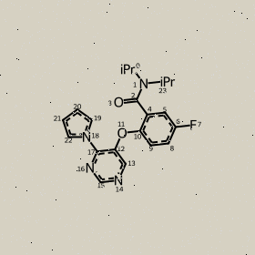 CC(C)N(C(=O)c1cc(F)ccc1Oc1cncnc1-n1cccc1)C(C)C